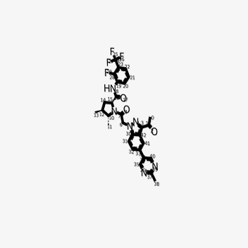 CC(=O)c1nn(CC(=O)N2[C@H](C)[C@@H](C)C[C@H]2C(=O)Nc2cccc(C(F)(F)F)c2F)c2ccc(-c3cnc(C)nc3)cc12